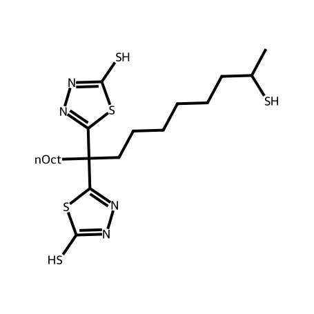 CCCCCCCCC(CCCCCCC(C)S)(c1nnc(S)s1)c1nnc(S)s1